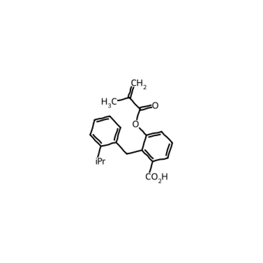 C=C(C)C(=O)Oc1cccc(C(=O)O)c1Cc1ccccc1C(C)C